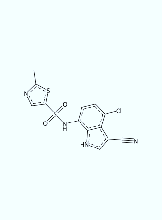 Cc1ncc(S(=O)(=O)Nc2ccc(Cl)c3c(C#N)c[nH]c23)s1